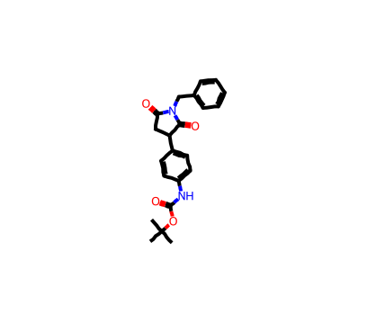 CC(C)(C)OC(=O)Nc1ccc(C2CC(=O)N(Cc3ccccc3)C2=O)cc1